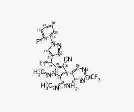 C=Nn1c(/C(N)=N\C)c(-c2cnc(C(F)(F)F)nc2)c(C#N)c1C(CC)c1cn(-c2ccccc2F)nn1